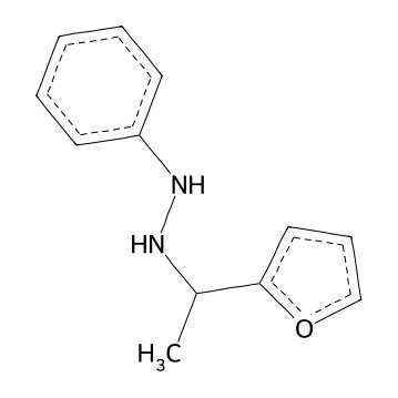 CC(NNc1ccccc1)c1ccco1